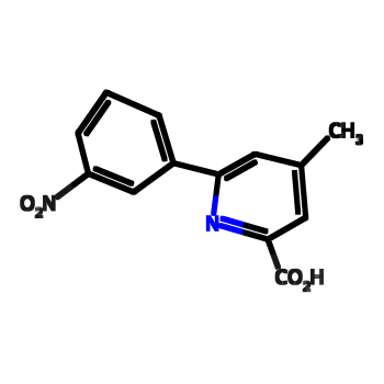 Cc1cc(C(=O)O)nc(-c2cccc([N+](=O)[O-])c2)c1